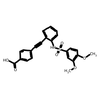 COc1ccc(S(=O)(=O)Nc2ccccc2C#Cc2ccc(C(=O)O)cc2)cc1OC